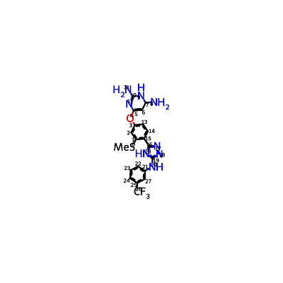 CSc1cc(OC2=CC(N)NC(N)=N2)ccc1-c1nnc(Nc2cccc(C(F)(F)F)c2)[nH]1